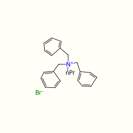 CCC[N+](Cc1ccccc1)(Cc1ccccc1)Cc1ccccc1.[Br-]